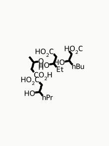 CC(O)CC(=O)O.CCC(O)CC(=O)O.CCCC(O)CC(=O)O.CCCCC(O)CC(=O)O